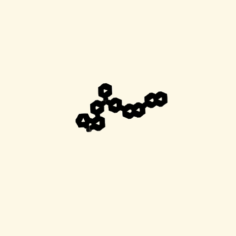 c1ccc(N(c2ccc(-c3ccc4ccc(-c5ccc6ccccc6c5)cc4c3)cc2)c2cccc(-c3cccc4oc5ccccc5c34)c2)cc1